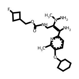 Cc1nc(/C(N)=C(\CNC(=O)OCC2CC(F)C2)N(C)N)ccc1OC1CCCCC1